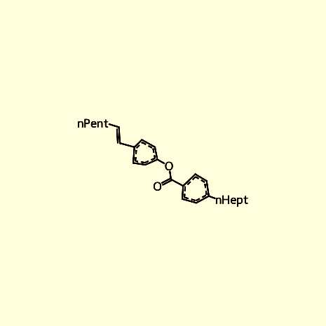 CCCCCC=Cc1ccc(OC(=O)c2ccc(CCCCCCC)cc2)cc1